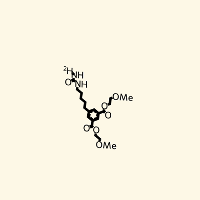 [2H]NC(=O)NCCCCCc1cc(C(=O)OCCOC)cc(C(=O)OCCOC)c1